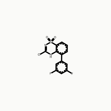 O=S1(=O)N=C(Cl)Nc2c(-c3cc(F)cc(F)c3)cccc21